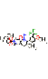 COc1ccc(C2=C(C)CCC3(CCN(C(=O)OC(C)(C)C)CC3)C(=O)N2)cc1C(F)(F)F